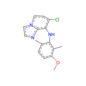 COc1ccc(C)c(Nc2c(Cl)ccn3ccnc23)c1C